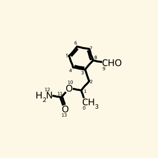 CC(Cc1ccccc1C=O)OC(N)=O